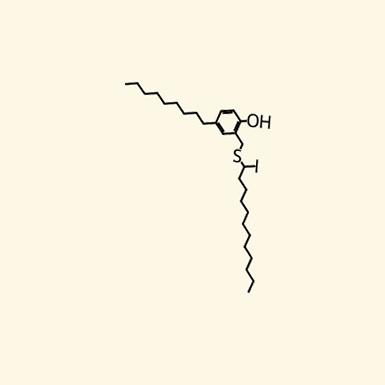 CCCCCCCCCCCC(I)SCc1cc(CCCCCCCCC)ccc1O